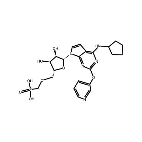 O=P(O)(O)COC[C@H]1O[C@@H](n2ccc3c(NC4CCCC4)nc(Oc4cccnc4)nc32)[C@H](O)[C@@H]1O